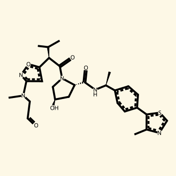 Cc1ncsc1-c1ccc([C@H](C)NC(=O)[C@@H]2C[C@@H](O)CN2C(=O)[C@@H](c2cc(N(C)CC=O)no2)C(C)C)cc1